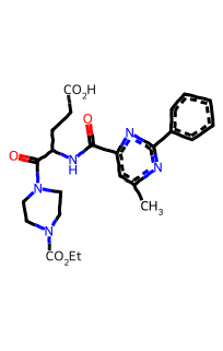 CCOC(=O)N1CCN(C(=O)C(CCC(=O)O)NC(=O)c2cc(C)nc(-c3ccccc3)n2)CC1